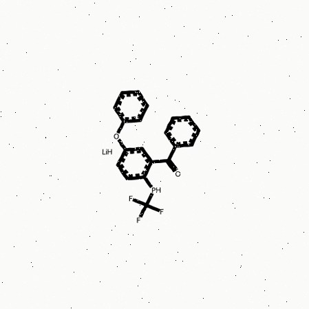 O=C(c1ccccc1)c1cc(Oc2ccccc2)ccc1PC(F)(F)F.[LiH]